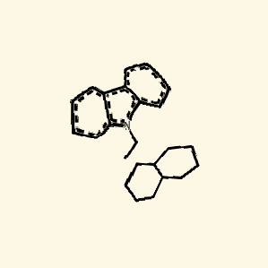 C1CCC2CCCCC2C1.CCn1c2ccccc2c2ccccc21